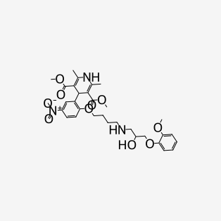 COC(=O)C1=C(C)NC(C)=C(C(=O)OC)C1c1cc([N+](=O)[O-])ccc1OCCCCNCC(O)COc1ccccc1OC